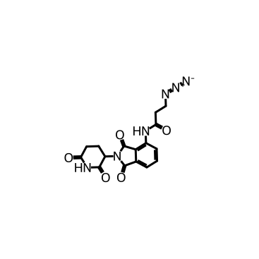 [N-]=[N+]=NCCC(=O)Nc1cccc2c1C(=O)N(C1CCC(=O)NC1=O)C2=O